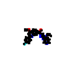 CCOc1cc(-c2ccc(F)cc2)nc2cc(C(=O)NCc3nc4cnccc4n3C)ccc12